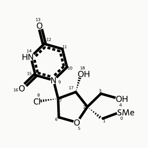 CSC[C@]1(CO)OC[C@@](Cl)(n2ccc(=O)[nH]c2=O)[C@@H]1O